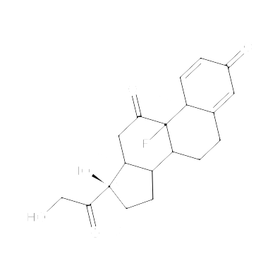 C[C@H]1CC2C3CCC4=CC(=O)C=C[C@]4(C)C3(F)C(=O)C[C@]2(C)[C@@]1(O)C(=O)CO